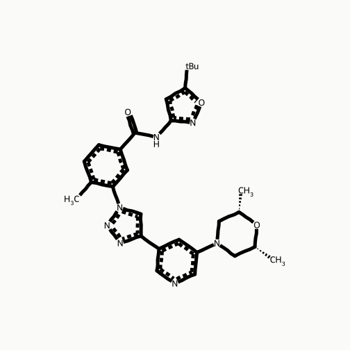 Cc1ccc(C(=O)Nc2cc(C(C)(C)C)on2)cc1-n1cc(-c2cncc(N3C[C@@H](C)O[C@@H](C)C3)c2)nn1